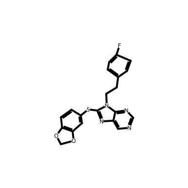 Fc1ccc(CCn2c(Sc3ccc4c(c3)OCO4)nc3cncnc32)cc1